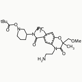 COCC1(C)Oc2cc(C(F)(F)F)c(C(=O)N(C(C)C)C3CCCN(OC(=O)C(C)(C)C)C3)cc2N(CCN)C1=O